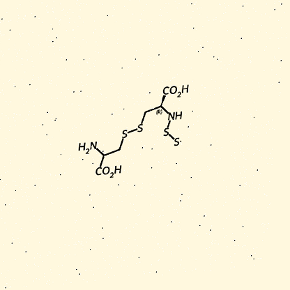 NC(CSSC[C@H](NS[S])C(=O)O)C(=O)O